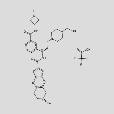 CN1CC(NC(=O)c2cccc([C@@H](CCN3CCC(CO)CC3)NC(=O)c3nc4cc5c(nc4s3)CC[C@H](C(C)(C)C)C5)c2)C1.O=C(O)C(F)(F)F